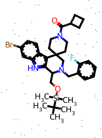 CC(C)(C)[Si](C)(C)OCC1c2[nH]c3cc(Br)ccc3c2C2(CCN(C(=O)C3CCC3)CC2)CN1Cc1ccccc1F